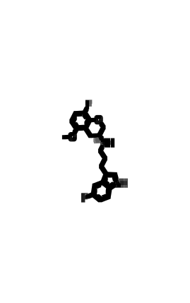 COc1ccc(F)c2c1C[C@H](NCCCc1c[nH]c3ccc(F)cc13)CO2